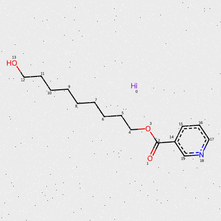 I.O=C(OCCCCCCCCCO)c1cccnc1